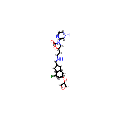 O=C1OC(CCNCC2Cc3cc(OC4COC4)cc(F)c3C2)CN1C1=CNCC=N1